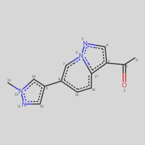 CC(=O)c1cnn2cc(-c3cnn(C)c3)ccc12